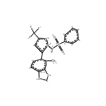 Cc1c(-c2cc(C(F)(F)F)nn2NS(=O)(=O)c2ccccc2)ccc2c1OCO2